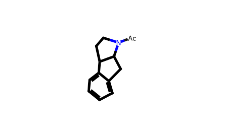 CC(=O)N1CCC2c3ccccc3CC21